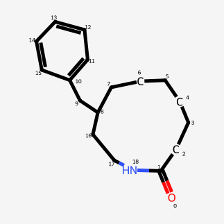 O=C1CCCCCCC(Cc2ccccc2)CCN1